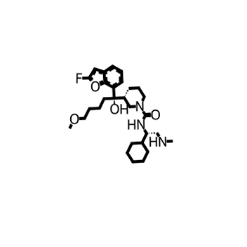 CNC[C@@H](NC(=O)N1CCC[C@@H]([C@@](O)(CCCCOC)c2cccc3cc(F)oc23)C1)C1CCCCC1